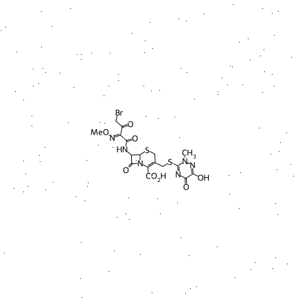 CON=C(C(=O)CBr)C(=O)NC1C(=O)N2C(C(=O)O)=C(CSc3nc(=O)c(O)nn3C)CSC12